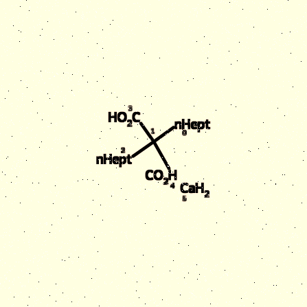 CCCCCCCC(CCCCCCC)(C(=O)O)C(=O)O.[CaH2]